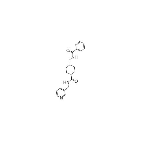 O=C(NC[C@H]1CC[C@H](C(=O)NCc2cccnc2)CC1)c1ccccc1